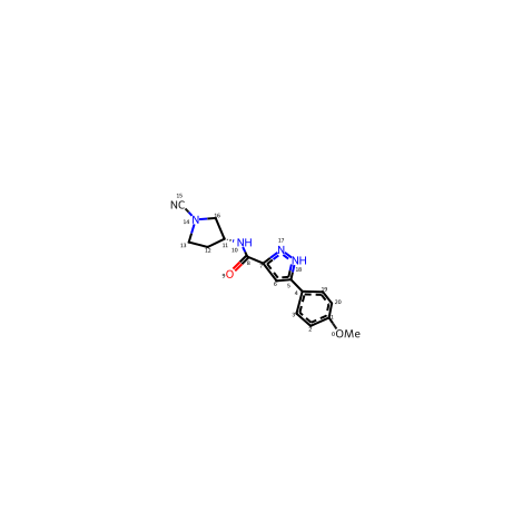 COc1ccc(-c2cc(C(=O)N[C@@H]3CCN(C#N)C3)n[nH]2)cc1